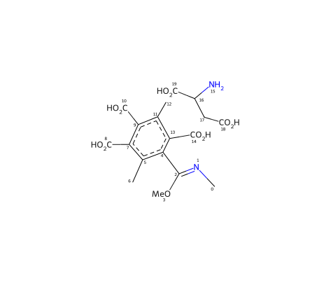 CN=C(OC)c1c(C)c(C(=O)O)c(C(=O)O)c(C)c1C(=O)O.NC(CC(=O)O)C(=O)O